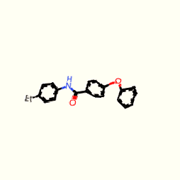 CCc1ccc(NC(=O)c2ccc(Oc3ccccc3)cc2)cc1